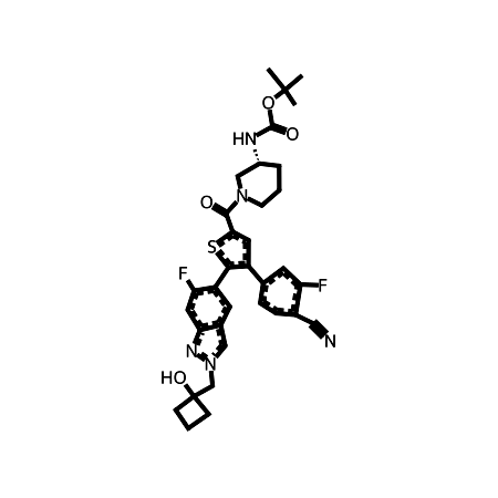 CC(C)(C)OC(=O)N[C@@H]1CCCN(C(=O)c2cc(-c3ccc(C#N)c(F)c3)c(-c3cc4cn(CC5(O)CCC5)nc4cc3F)s2)C1